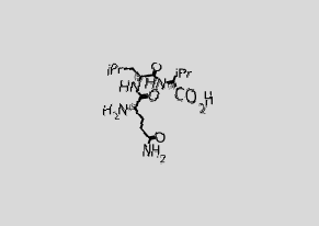 CC(C)C[C@H](NC(=O)[C@@H](N)CCC(N)=O)C(=O)N[C@H](C(=O)O)C(C)C